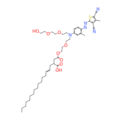 CCCCCCCCCCCCC/C=C/CC(CC(=O)OCCOCCN(CCOCCOCCO)c1ccc(/N=N/c2sc(C#N)c(C)c2C#N)c(C)c1)C(=O)O